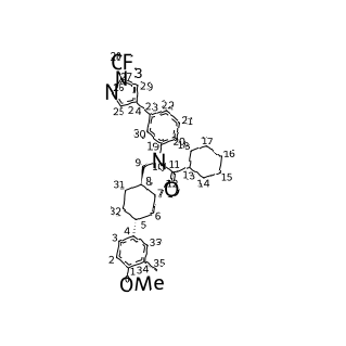 COc1ccc([C@H]2CC[C@H](CN(C(=O)C3CCCCC3)c3cccc(-c4cnn(C(F)(F)F)c4)c3)CC2)cc1C